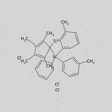 CC1=C(C)[C]([Ti+3])([Si](c2ccccc2)(c2cccc(C)c2)c2cccc(C)c2)C(C)=C1C.[Cl-].[Cl-].[Cl-]